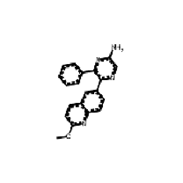 COc1ccc2cc(-c3ncc(N)nc3-c3ccccc3)ccc2n1